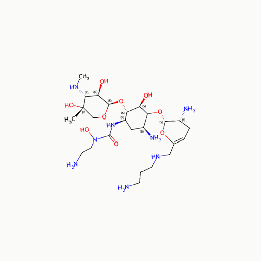 CN[C@@H]1[C@@H](O)[C@@H](O[C@H]2[C@H](NC(=O)N(O)CCN)C[C@H](N)C(O[C@H]3OC(CNCCCN)=CC[C@H]3N)[C@@H]2O)OC[C@]1(C)O